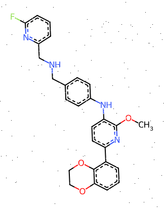 COc1nc(-c2cccc3c2OCCO3)ccc1Nc1ccc(CNCc2cccc(F)n2)cc1